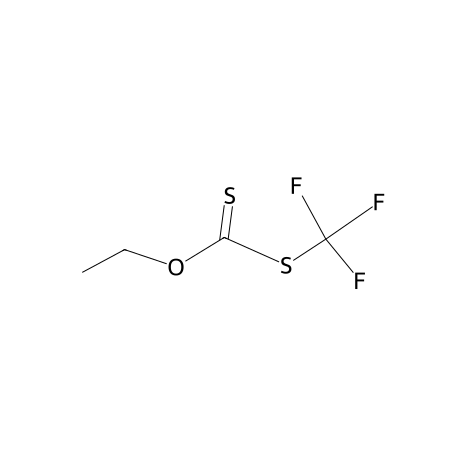 CCOC(=S)SC(F)(F)F